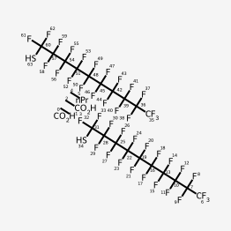 CC(=O)O.CC(=O)O.CCCC.FC(F)(F)C(F)(F)C(F)(F)C(F)(F)C(F)(F)C(F)(F)C(F)(F)C(F)(F)C(F)(F)C(F)(F)S.FC(F)(F)C(F)(F)C(F)(F)C(F)(F)C(F)(F)C(F)(F)C(F)(F)C(F)(F)C(F)(F)C(F)(F)S